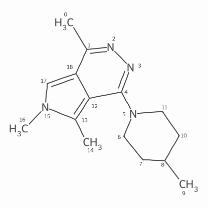 Cc1nnc(N2CCC(C)CC2)c2c(C)n(C)cc12